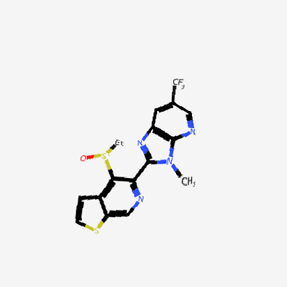 CC[S+]([O-])c1c(-c2nc3cc(C(F)(F)F)cnc3n2C)ncc2sccc12